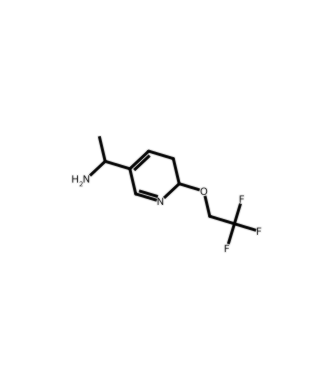 CC(N)C1=CCC(OCC(F)(F)F)N=C1